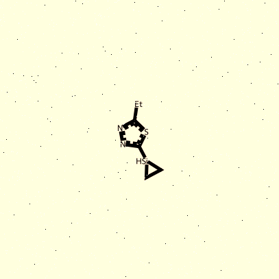 CCc1nnc([SiH]2CC2)s1